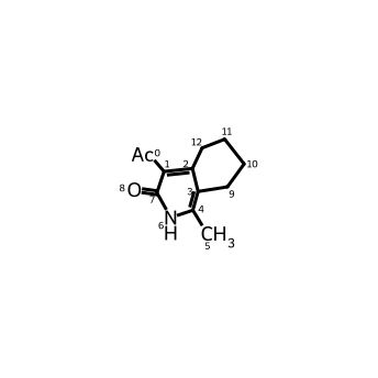 CC(=O)c1c2c(c(C)[nH]c1=O)CCCC2